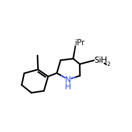 C[SiH2]C1CNC(C2=C(C)CCCC2)CC1C(C)C